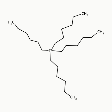 CCCCC[CH2][Ti]([CH2]CCCCC)([CH2]CCCCC)[CH2]CCCCC